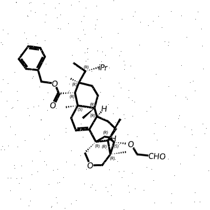 CC(C)[C@@H](C)[C@@]1(C)CC[C@]2(C)[C@H]3CC[C@@H]4[C@@]5(COC[C@]4(C)[C@@H](OCC=O)[C@H](C)C5)C3=CC[C@@]2(C)[C@@H]1C(=O)OCc1ccccc1